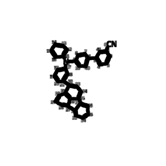 N#Cc1cccc(-c2ccc(N(c3ccccc3)c3cccc(-c4ccc5c6c(cccc46)-c4ccccc4-5)c3)cc2)c1